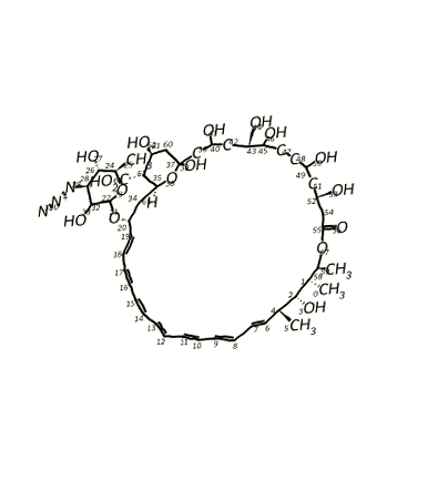 C[C@@H]1[C@H](O)[C@@H](C)/C=C/C=C/C=C/C=C/C=C/C=C/C=C/[C@H](OC2O[C@H](C)[C@@H](O)[C@H](N=[N+]=[N-])C2O)C[C@@H]2OC(O)(CC(O)C[C@@H](O)C(O)CCC(O)C[C@@H](O)CC(=O)O[C@H]1C)C[C@H](O)[C@H]2C(=O)O